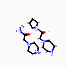 CC(C)NC(=O)CN1CCNCC1.O=C(CN1CCNCC1)N1CCCC1